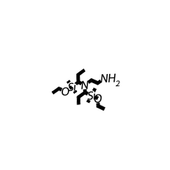 CCO[Si](C)(C)C(CC)N(CCN)C(CC)[Si](C)(C)OCC